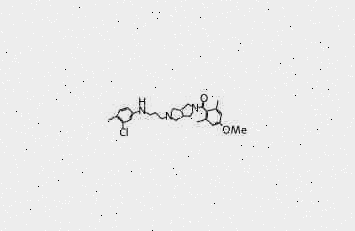 COc1cc(C)c(C(=O)N2CC3CN(CCCNc4ccc(C)c(Cl)c4)CC3C2)c(C)c1